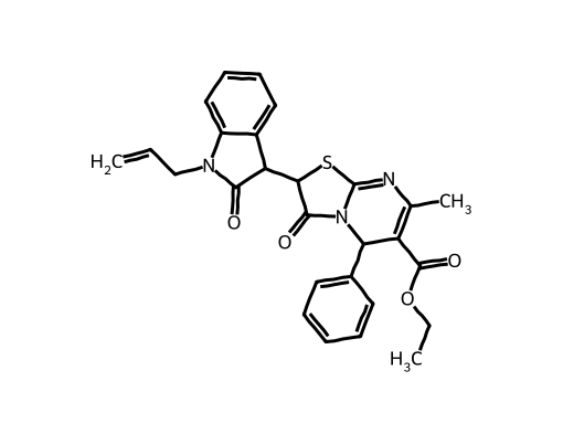 C=CCN1C(=O)C(C2SC3=NC(C)=C(C(=O)OCC)C(c4ccccc4)N3C2=O)c2ccccc21